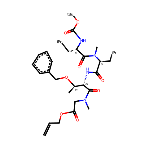 C=CCOC(=O)CN(C)C(=O)[C@@H](NC(=O)[C@H](CC(C)C)N(C)C(=O)[C@H](CC(C)C)NC(=O)OC(C)(C)C)[C@@H](C)OCc1ccccc1